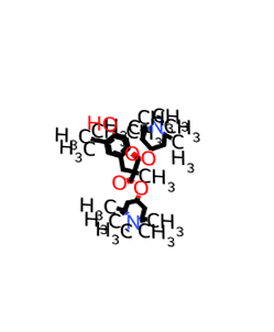 Cc1cc(CC(C)(C(=O)OC2CC(C)(C)N(C)C(C)(C)C2)C(=O)OC2CC(C)(C)N(C)C(C)(C)C2)cc(C(C)(C)C)c1O